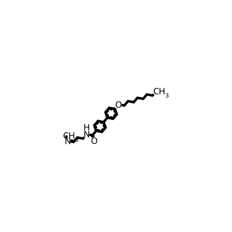 CCCCCCCCOc1ccc(-c2ccc(C(=O)NCC/C=N\C)cc2)cc1